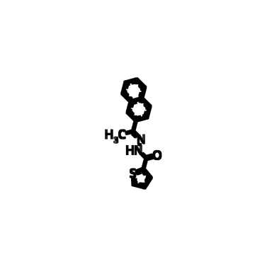 C/C(=N\NC(=O)c1cccs1)c1ccc2ccccc2c1